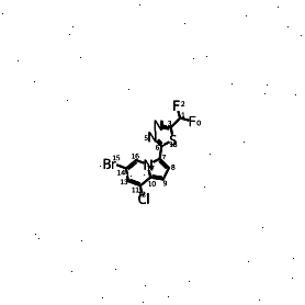 FC(F)c1nnc(-c2ccc3c(Cl)cc(Br)cn23)s1